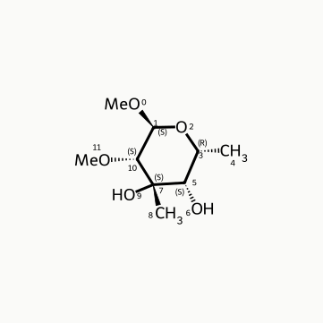 CO[C@H]1O[C@H](C)[C@H](O)[C@](C)(O)[C@@H]1OC